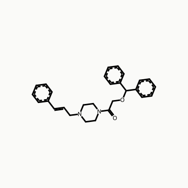 O=C(COC(c1ccccc1)c1ccccc1)N1CCN(CC=Cc2ccccc2)CC1